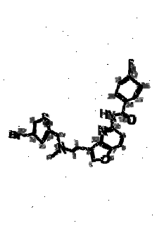 CN(CCc1coc2ccc(NC(=O)c3ccc(F)cc3)nc12)Cc1cc(Br)cs1